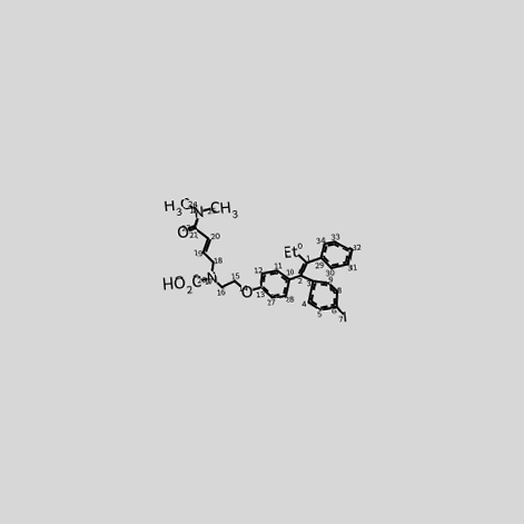 CCC(=C(c1ccc(I)cc1)c1ccc(OCCN(CC=CC(=O)N(C)C)C(=O)O)cc1)c1ccccc1